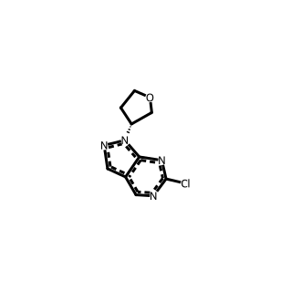 Clc1ncc2cnn([C@@H]3CCOC3)c2n1